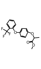 COC(=O)C(C)Oc1ccc(Oc2ccccc2C(F)(F)F)cc1